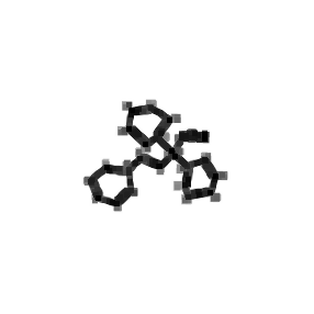 CCCCCCCC[N+](C=Cc1ccccc1)(c1ccccc1)c1ccccc1